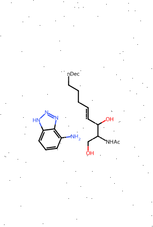 CCCCCCCCCCCCC/C=C/C(O)C(CO)NC(C)=O.Nc1cccc2[nH]nnc12